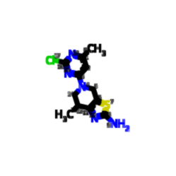 Cc1cc(N2Cc3sc(N)nc3C(C)C2)nc(Cl)n1